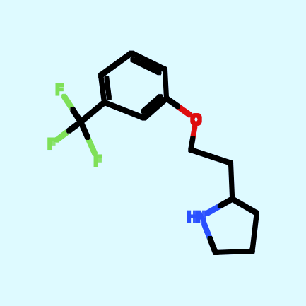 FC(F)(F)c1cccc(OCCC2CCCN2)c1